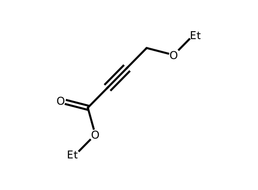 [CH2]COCC#CC(=O)OCC